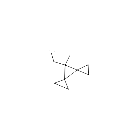 [2H]C1(CC#N)C2(CC2)C12CC2